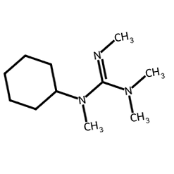 CN=C(N(C)C)N(C)C1CCCCC1